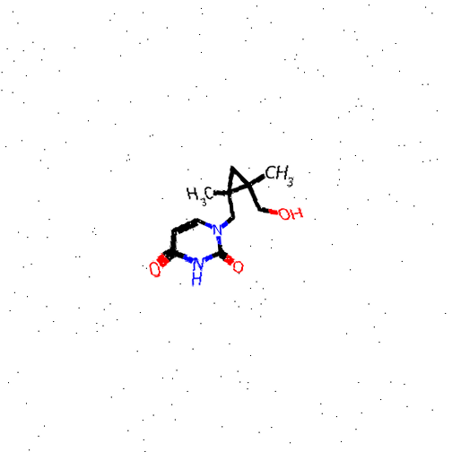 CC1(CO)CC1(C)Cn1ccc(=O)[nH]c1=O